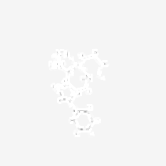 NNC(=O)c1occ(-c2ccccc2)c1CN1CCCCC1